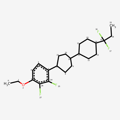 CCOc1ccc(C2CCC(C3CCC(C(F)(F)CC)CC3)CC2)c(F)c1F